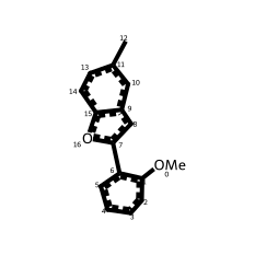 COc1ccccc1-c1cc2cc(C)ccc2o1